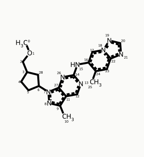 COCC1CCC(n2nc(C)c3cnc(Nc4cn5ncnc5cc4C)nc32)C1